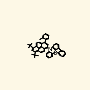 Cc1ccccc1-c1cc(N2c3ccccc3B3c4ccccc4-c4cccc2c43)c2ccc3c(C(C)(C)C)cc(C(C)(C)C)c4ccc1c2c43